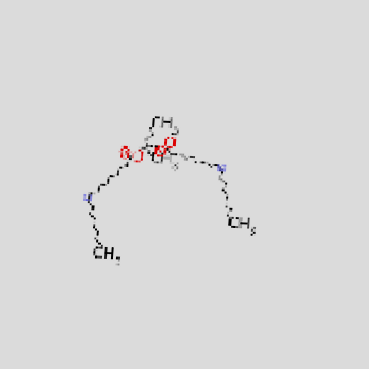 CCCCCCCC/C=C\CCCCCCCC(=O)OCC(CC)(CCCC)COC(=O)CCCCCCC/C=C\CCCCCCCC